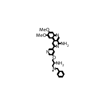 COc1cc2ncc3c(N)nc(-c4cncc(OC[C@@H](N)CN(C)Cc5ccccc5)c4)cc3c2cc1OC